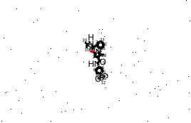 Cc1cc(C(=O)Nc2ccc(S(C)(=O)=O)cc2)c(C)n1-c1ccccc1C(=O)NC(C)C